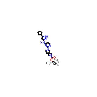 CC(C)(C)OC(=O)N1CC2(CCN(c3nccc(Nc4cc(C5CCCC5)[nH]n4)n3)C2)C1